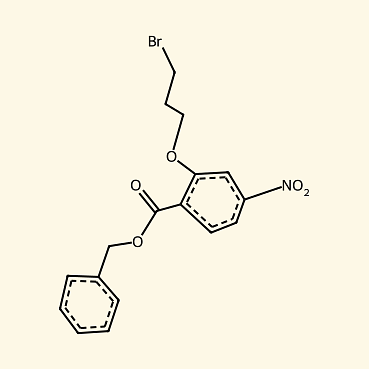 O=C(OCc1ccccc1)c1ccc([N+](=O)[O-])cc1OCCCBr